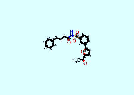 CC(=O)c1ccc(-c2cccc(S(=O)(=O)NC(=O)CCCc3ccccc3)c2)o1